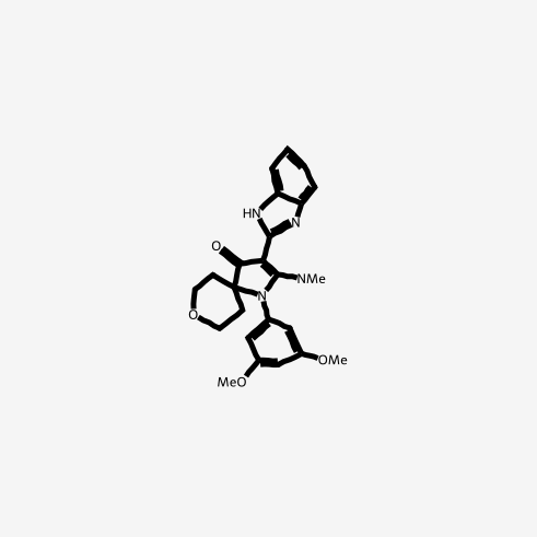 CNC1=C(c2nc3ccccc3[nH]2)C(=O)C2(CCOCC2)N1c1cc(OC)cc(OC)c1